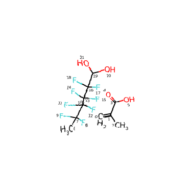 C=C(C)C(=O)O.CC(F)(F)C(F)(F)C(F)(F)C(F)(F)C(O)O